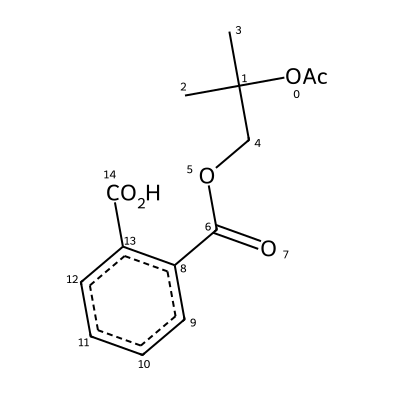 CC(=O)OC(C)(C)COC(=O)c1ccccc1C(=O)O